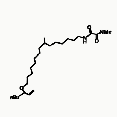 C=CC(CCCC)OCCCCCCCCC(C)CCCCCCNC(=O)C(=O)NC